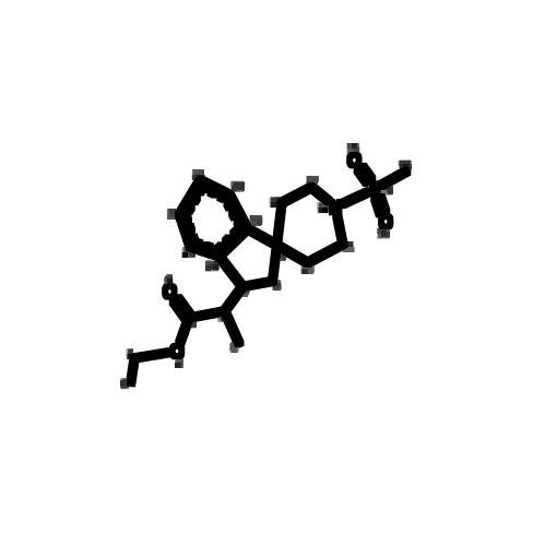 CCOC(=O)C(C)C1CC2(CCN(S(C)(=O)=O)CC2)c2ccccc21